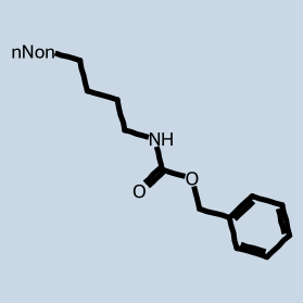 CCCCCCCCCCCCCNC(=O)OCc1ccccc1